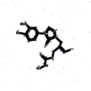 COc1cc(-n2cnn(C/C(=C\F)COC(=O)NC(C)(C)C)c2=O)ccc1Br